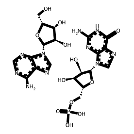 Nc1nc2c(ncn2[C@@H]2O[C@H](COP(=O)(O)O)[C@@H](O)[C@H]2O)c(=O)[nH]1.Nc1ncnc2c1ncn2[C@@H]1O[C@H](CO)[C@@H](O)[C@H]1O